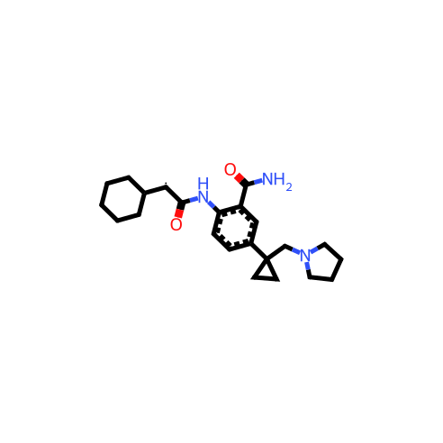 NC(=O)c1cc(C2(CN3CCCC3)CC2)ccc1NC(=O)[CH]C1CCCCC1